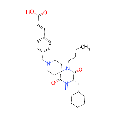 CCCCN1C(=O)[C@H](CC2CCCCC2)NC(=O)C12CCN(Cc1ccc(/C=C/C(=O)O)cc1)CC2